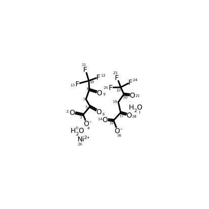 O.O.O=C([O-])C(=O)CC(=O)C(F)(F)F.O=C([O-])C(=O)CC(=O)C(F)(F)F.[Ni+2]